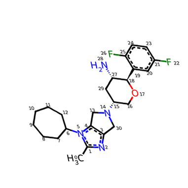 Cc1nc2c(n1C1CCCCCC1)CN([C@H]1CO[C@H](c3cc(F)ccc3F)[C@@H](N)C1)C2